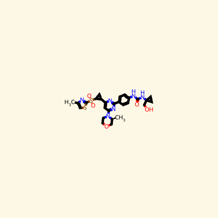 Cc1csc(S(=O)(=O)C2CC2c2cc(N3CCOC[C@@H]3C)nc(-c3ccc(NC(=O)NC4(CO)CC4)cc3)n2)n1